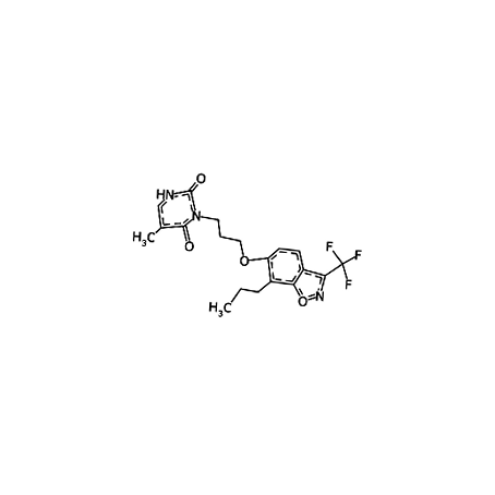 CCCc1c(OCCCn2c(=O)[nH]cc(C)c2=O)ccc2c(C(F)(F)F)noc12